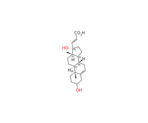 C[C@]12CCC(O)CC1=CC[C@@H]1[C@@H]2CC[C@@]2(C)[C@H]1CC[C@]2(O)C=CC(=O)O